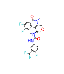 CN(C(=O)Nc1ccc(F)c(C(F)F)c1)[C@@H]1COCc2c1c1cc(F)c(F)cc1c(=O)n2C